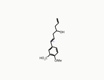 C=CCC(O)C/C=C/c1ccc(OC)c(C(=O)O)c1